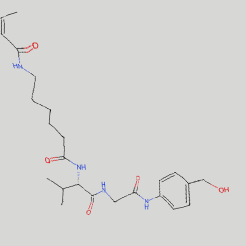 C/C=C\C(=O)NCCCCCC(=O)N[C@H](C(=O)NCC(=O)Nc1ccc(CO)cc1)C(C)C